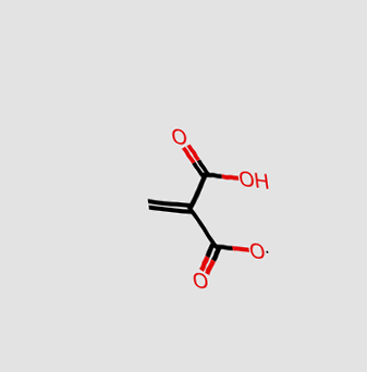 C=C(C([O])=O)C(=O)O